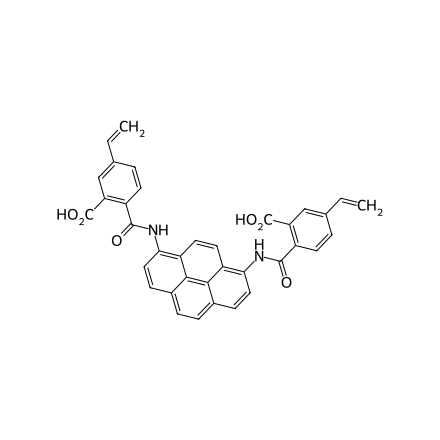 C=Cc1ccc(C(=O)Nc2ccc3ccc4ccc(NC(=O)c5ccc(C=C)cc5C(=O)O)c5ccc2c3c45)c(C(=O)O)c1